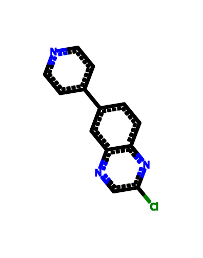 Clc1cnc2cc(-c3ccncc3)ccc2n1